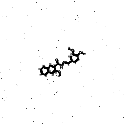 COc1ccc(C=NNC(=O)c2cc3ccccc3cc2OC)cc1OC